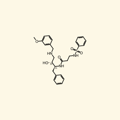 COc1cccc(CNC[C@@H](O)[C@H](Cc2ccccc2)NC(=O)CCNS(=O)(=O)c2ccccc2)c1